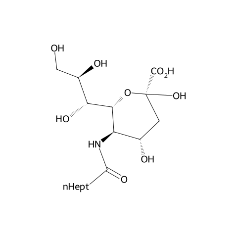 CCCCCCCC(=O)N[C@H]1[C@H]([C@H](O)[C@H](O)CO)O[C@](O)(C(=O)O)C[C@@H]1O